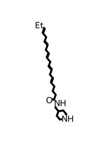 CCC=CCC=CCC=CCC=CCC=CCCCC(=O)NCC1CCNCC1